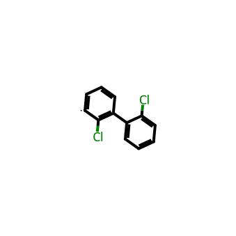 Clc1[c]cccc1-c1ccccc1Cl